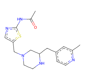 CC(=O)Nc1ncc(CN2CCNC(Cc3ccnc(C)c3)C2)s1